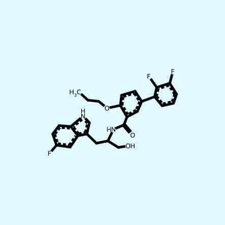 CCCOc1ccc(-c2cccc(F)c2F)cc1C(=O)NC(CO)Cc1c[nH]c2ccc(F)cc12